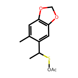 CC(=O)OSC(C)c1cc2c(cc1C)OCO2